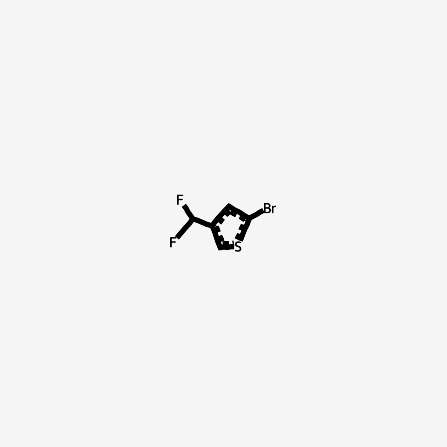 FC(F)c1csc(Br)c1